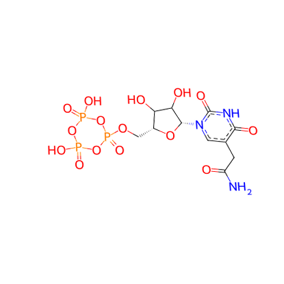 NC(=O)Cc1cn([C@@H]2O[C@H](COP3(=O)OP(=O)(O)OP(=O)(O)O3)C(O)C2O)c(=O)[nH]c1=O